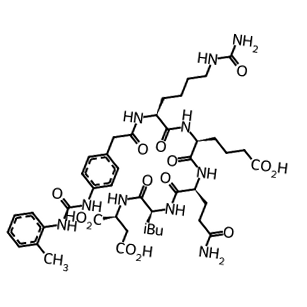 CCC(C)[C@H](NC(=O)[C@H](CCC(N)=O)NC(=O)[C@H](CCCC(=O)O)NC(=O)[C@H](CCCCNC(N)=O)NC(=O)Cc1ccc(NC(=O)Nc2ccccc2C)cc1)C(=O)N[C@@H](CC(=O)O)C(=O)O